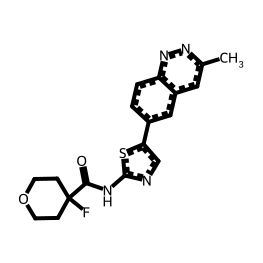 Cc1cc2cc(-c3cnc(NC(=O)C4(F)CCOCC4)s3)ccc2nn1